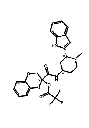 CN1CC[C@@H](NC(=O)[C@@]2(OC(=O)C(F)(F)F)COc3ccccc3O2)C[C@@H]1c1nc2ccccc2[nH]1